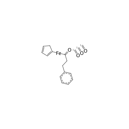 O=[C](CCc1ccccc1)[Fe][C]1=CC=CC1.[C]=O.[C]=O.[C]=O